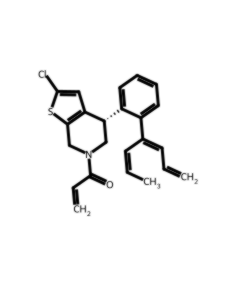 C=C/C=C(\C=C/C)c1ccccc1[C@@H]1CN(C(=O)C=C)Cc2sc(Cl)cc21